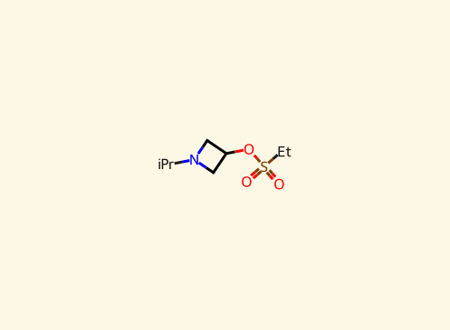 CCS(=O)(=O)OC1CN(C(C)C)C1